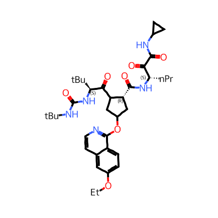 CCC[C@H](NC(=O)[C@@H]1CC(Oc2nccc3cc(OCC)ccc23)CC1C(=O)[C@@H](NC(=O)NC(C)(C)C)C(C)(C)C)C(=O)C(=O)NC1CC1